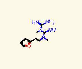 CN(CCc1ccco1)C(=N)N(C)C(=N)N